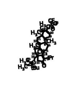 CC(C)C1=C2C3CCC4C5(C)CC=C(OS(=O)(=O)C(F)(F)F)C(C)(C)C5CCC4(C)C3(C)CCC2(CO[Si](C)(C)C(C)(C)C)CC1=O